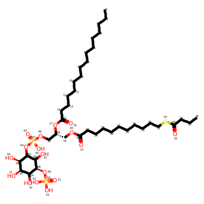 CCCCCCCCCCCCCCCC(=O)O[C@H](COC(=O)CCCCCCCCCCSC(=O)CCC)COP(=O)(O)OC1C(O)[C@@H](OP(=O)(O)O)C(O)[C@@H](O)[C@H]1O